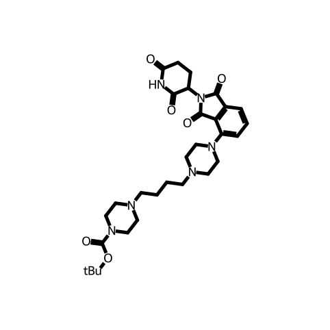 CC(C)(C)OC(=O)N1CCN(CCCCN2CCN(c3cccc4c3C(=O)N(C3CCC(=O)NC3=O)C4=O)CC2)CC1